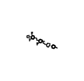 Cc1ccc([C@H]2CC[C@H](CCc3ccc(CCc4cc(F)c(Cl)c(F)c4)c(F)c3)CC2)cc1